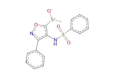 C[S+]([O-])c1onc(-c2ccccc2)c1NS(=O)(=O)c1ccccc1